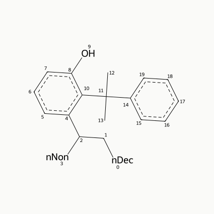 CCCCCCCCCCCC(CCCCCCCCC)c1cccc(O)c1C(C)(C)c1ccccc1